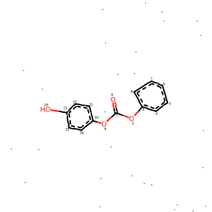 O=C(Oc1ccccc1)Oc1ccc(O)cc1